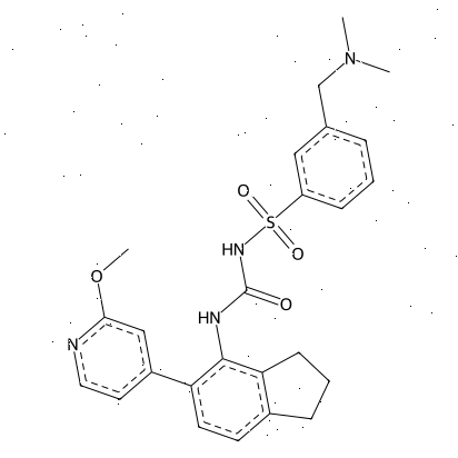 COc1cc(-c2ccc3c(c2NC(=O)NS(=O)(=O)c2cccc(CN(C)C)c2)CCC3)ccn1